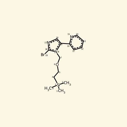 C[Si](C)(C)CCOCn1c(-c2ccccn2)cnc1Br